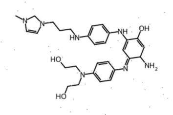 CN1C=CN(CCCNc2ccc(NC3=CC(=Nc4ccc(N(CCO)CCO)cc4)C(N)C=C3O)cc2)C1